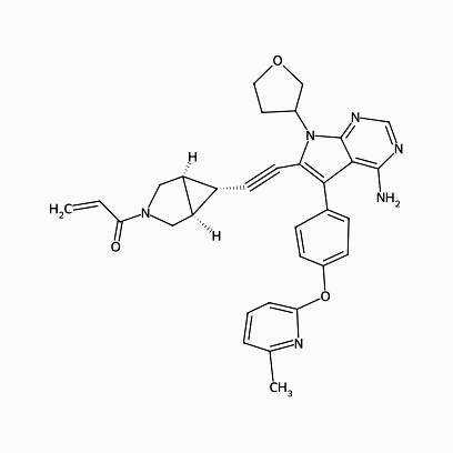 C=CC(=O)N1C[C@@H]2[C@@H](C#Cc3c(-c4ccc(Oc5cccc(C)n5)cc4)c4c(N)ncnc4n3C3CCOC3)[C@@H]2C1